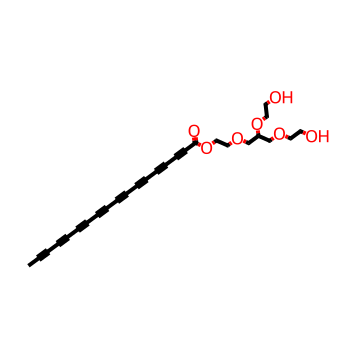 CC#CC#CC#CC#CC#CC#CC#CC#CC(=O)OCCOCC(COCCO)OCCO